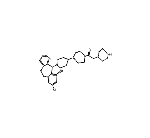 O=C(CC1CCNCC1)N1CCC(C2CCN(C3c4ncccc4CCc4cc(Cl)cc(Br)c43)CC2)CC1